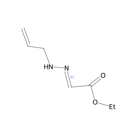 C=CCN/N=C/C(=O)OCC